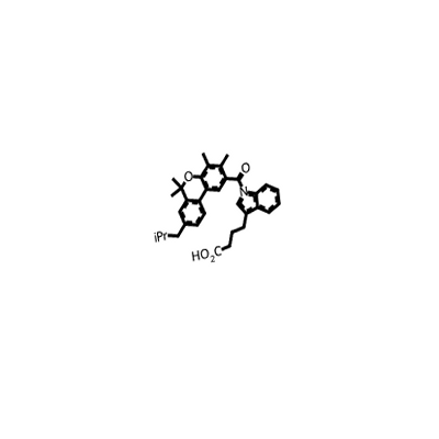 Cc1c(C(=O)n2cc(CCCC(=O)O)c3ccccc32)cc2c(c1C)OC(C)(C)c1cc(CC(C)C)ccc1-2